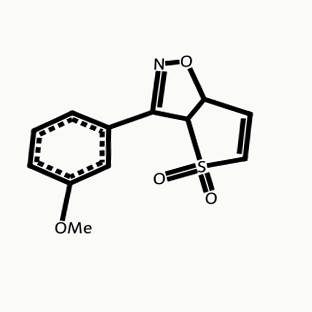 COc1cccc(C2=NOC3C=CS(=O)(=O)C23)c1